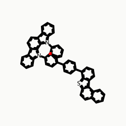 c1ccc(-n2c3ccccc3c3ccc4c5ccccc5n(-c5ccc(-c6ccc(-c7cccc8c7sc7ccc9ccccc9c78)cc6)cc5)c4c32)cc1